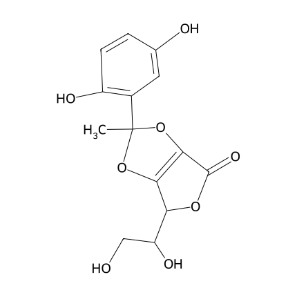 CC1(c2cc(O)ccc2O)OC2=C(O1)C(C(O)CO)OC2=O